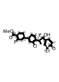 CCn1cc(C(O)(C(C)c2ccc(-c3ccc(C(=O)OC)c(F)c3)cc2Cl)C(F)(F)F)ccc1=O